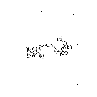 CCc1cccc2cc(O)cc(-c3ncc4c(N5CC6CCC(C5)N6)nc(OCCN5CCC(CCOc6cc([C@@H](C(=O)N7CCC[C@H]7C(=O)N[C@@H](C)c7ccc(-c8scnc8C)cc7)C(C)C)on6)CC5)nc4c3F)c12